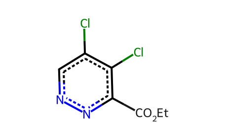 CCOC(=O)c1nncc(Cl)c1Cl